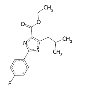 CCOC(=O)c1nc(-c2ccc(F)cc2)sc1CC(C)C